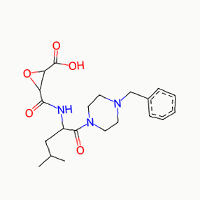 CC(C)CC(NC(=O)C1OC1C(=O)O)C(=O)N1CCN(Cc2ccccc2)CC1